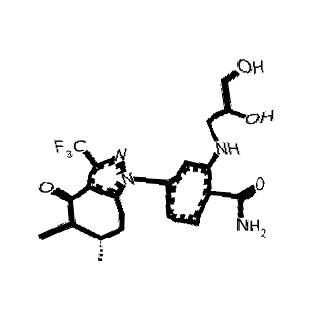 CC1C(=O)c2c(C(F)(F)F)nn(-c3ccc(C(N)=O)c(NCC(O)CO)c3)c2C[C@@H]1C